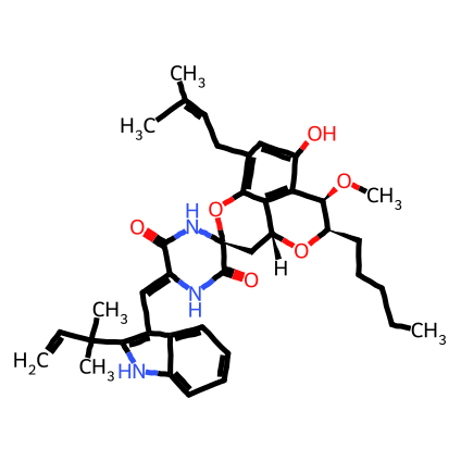 C=CC(C)(C)c1[nH]c2ccccc2c1/C=C1\NC(=O)[C@]2(C[C@H]3O[C@H](CCCCC)[C@H](OC)c4c(O)cc(CC=C(C)C)c(c43)O2)NC1=O